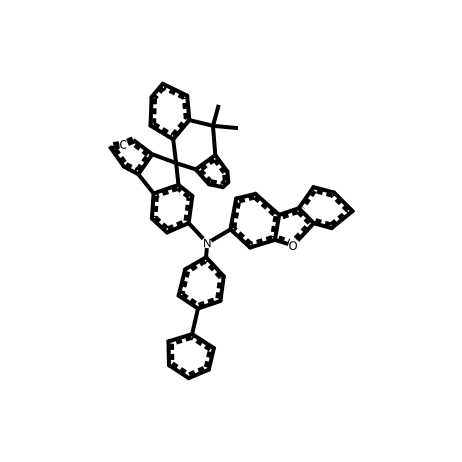 CC1(C)c2ccccc2C2(c3ccccc3-c3ccc(N(c4ccc(-c5ccccc5)cc4)c4ccc5c(c4)oc4ccccc45)cc32)c2ccccc21